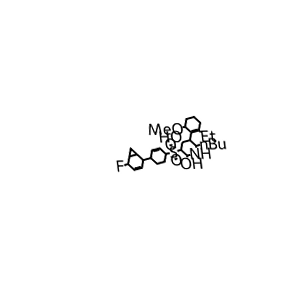 CCCCC1NC(O)C(S(=O)(=O)C2C=CC(C3C=CC(F)C4CC34)CC2)C(O)C1C1=C(CC)CCCC1OC